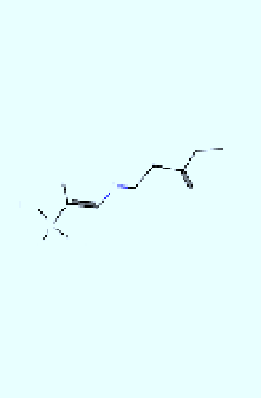 C=C(CC)CCN/C=C(\C)[Si](C)(C)C